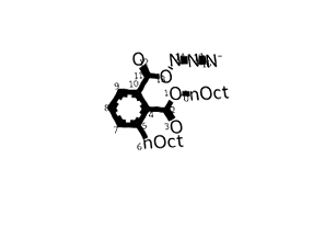 CCCCCCCCOC(=O)c1c(CCCCCCCC)cccc1C(=O)ON=[N+]=[N-]